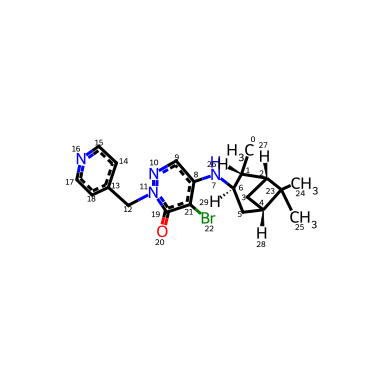 C[C@@H]1[C@H]2C[C@@H](C[C@H]1Nc1cnn(Cc3ccncc3)c(=O)c1Br)C2(C)C